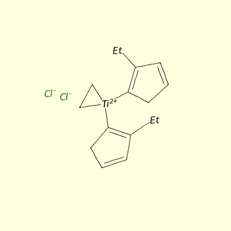 CCC1=[C]([Ti+2]2([C]3=C(CC)C=CC3)[CH2][CH2]2)CC=C1.[Cl-].[Cl-]